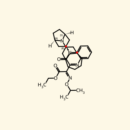 CCOC(=O)C(=NOC(C)C)c1nc2ccccc2n([C@H]2C[C@H]3CC[C@@H](C2)N3C2CC3CCCCC(C3)C2)c1=O